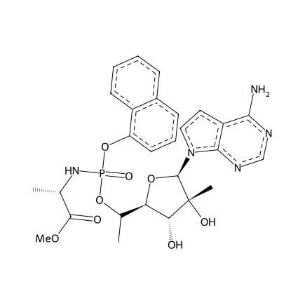 COC(=O)[C@H](C)NP(=O)(Oc1cccc2ccccc12)OC(C)[C@H]1O[C@@H](n2ccc3c(N)ncnc32)[C@](C)(O)[C@@H]1O